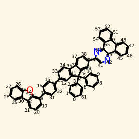 c1ccc(C2(c3ccccc3)c3cc(-c4ccc(-c5cccc6c5oc5ccccc56)cc4)ccc3-c3ccc(-c4cnc5c6ccccc6c6ccccc6c5n4)cc32)cc1